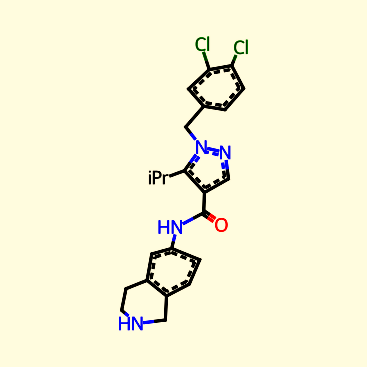 CC(C)c1c(C(=O)Nc2ccc3c(c2)CCNC3)cnn1Cc1ccc(Cl)c(Cl)c1